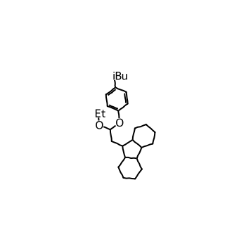 CCOC(CC1C2CCCCC2C2CCCCC21)Oc1ccc(C(C)CC)cc1